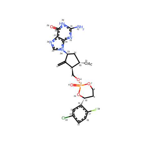 C=C1[C@H](CO[P@]2(=O)OCC[C@H](c3cc(Cl)ccc3F)O2)[C@@H](OC(C)=O)C[C@@H]1n1cnc2c(=O)[nH]c(N)nc21